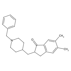 Cc1cc2c(cc1C)C(=O)C(CC1CCN(Cc3ccccc3)CC1)C2